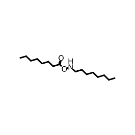 CCCCCCCCNOC(=O)CCCCCCC